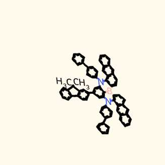 CC1(C)c2ccccc2-c2ccc(-c3cc4c5c(c3)N(c3ccc(-c6ccccc6)cc3)c3c(ccc6cc7ccccc7cc36)B5c3ccc5cc6ccccc6cc5c3N4c3ccc(-c4ccccc4)cc3)cc21